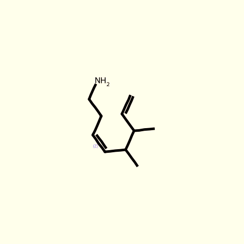 C=CC(C)C(C)/C=C\CCN